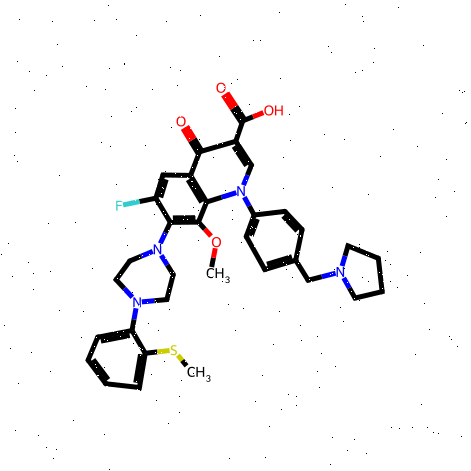 COc1c(N2CCN(c3ccccc3SC)CC2)c(F)cc2c(=O)c(C(=O)O)cn(-c3ccc(CN4CCCC4)cc3)c12